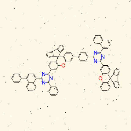 c1ccc(-c2nc(-c3ccc4c(c3)Oc3cc(-c5ccc(-c6nc(-c7ccc8c(c7)Oc7ccccc7C87c8ccccc8-c8ccccc87)nc(-c7cccc8ccccc78)n6)cc5)ccc3C43c4ccccc4-c4ccccc43)nc(-c3ccc(-c4ccccc4)c4ccccc34)n2)cc1